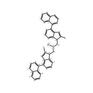 CC1=Cc2c(-c3cccc4ccccc34)cccc2C1C[SiH]([Zr])CC1C(C)=Cc2c(-c3cccc4ccccc34)cccc21